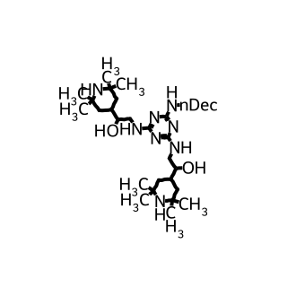 CCCCCCCCCCNc1nc(NCC(O)C2CC(C)(C)NC(C)(C)C2)nc(NCC(O)C2CC(C)(C)NC(C)(C)C2)n1